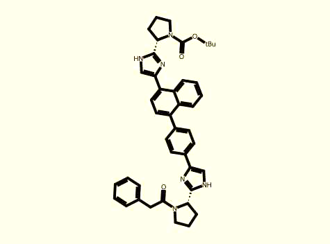 CC(C)(C)OC(=O)N1CCC[C@H]1c1nc(-c2ccc(-c3ccc(-c4c[nH]c([C@@H]5CCCN5C(=O)Cc5ccccc5)n4)cc3)c3ccccc23)c[nH]1